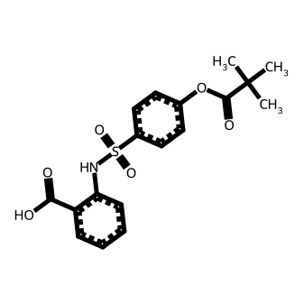 CC(C)(C)C(=O)Oc1ccc(S(=O)(=O)Nc2ccccc2C(=O)O)cc1